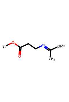 CCOC(=O)CCN=C(C)OC